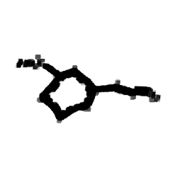 C=CCc1cccc(C(=O)O)c1